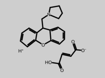 O=C([O-])/C=C/C(=O)O.[H+].c1ccc2c(c1)Oc1ccccc1C2CN1CCCC1